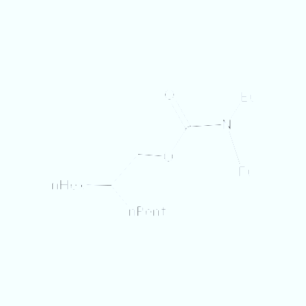 CCCCCCC(CCCCC)COC(=O)N(CC)CC